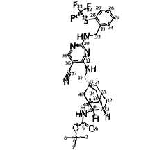 CC(C)(C)OC(=O)N[C@@H]1[C@@H]2CC3C[C@H]1C[C@](CNc1nc(NCc4ccccc4SC(F)(F)F)ncc1C#N)(C3)C2